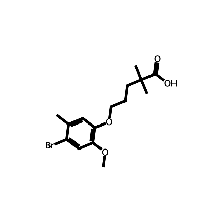 COc1cc(Br)c(C)cc1OCCCC(C)(C)C(=O)O